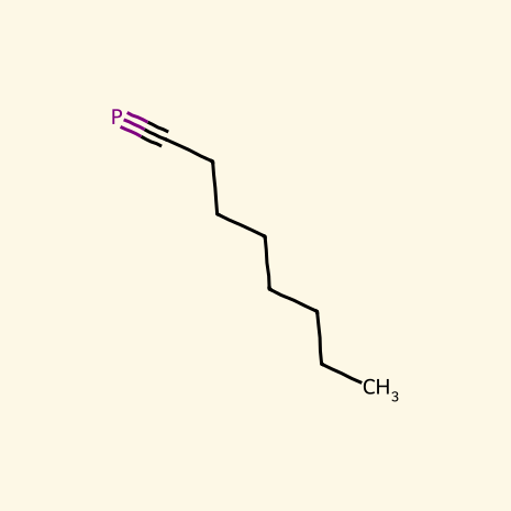 CCCCCCCC#P